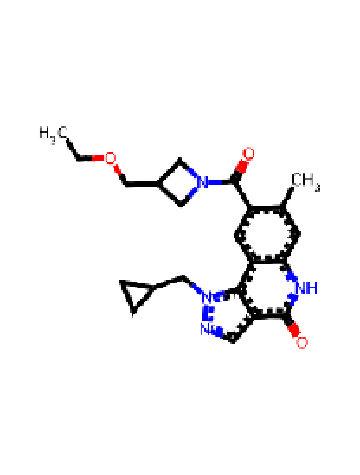 CCOCC1CN(C(=O)c2cc3c(cc2C)[nH]c(=O)c2cnn(CC4CC4)c23)C1